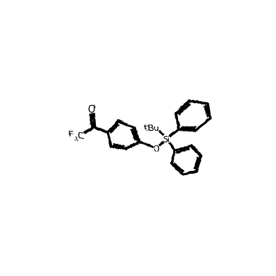 CC(C)(C)[Si](Oc1ccc(C(=O)C(F)(F)F)cc1)(c1ccccc1)c1ccccc1